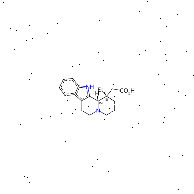 CC[C@@]1(CC(=O)O)CCCN2CCc3c([nH]c4ccccc34)[C@@H]21